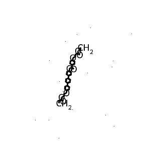 C=COC(=O)CCOC1=CC=C(C(=O)Oc2ccc(-c3ccc(-c4ccc(OCCOC(=O)C=C)cc4)cc3)cc2)CC1